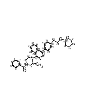 CC1CN(C(=O)c2ccccc2)CCN1c1nnc(-c2ccc(CCO[C@@H]3CCCCO3)cc2)c2ccccc12